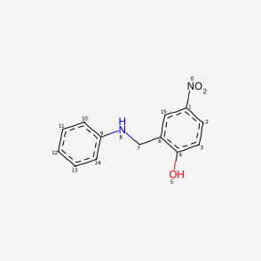 O=[N+]([O-])c1ccc(O)c(CNc2ccccc2)c1